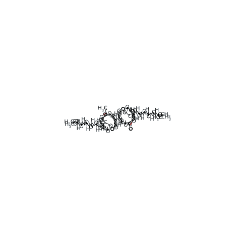 CCCCOc1c2cccc1C(=O)NCCN(C(=O)CNC(=O)CNC(=O)CNC(=O)CNC(=O)CNC(=O)OC(C)(C)C)CCNC(=O)c1cccc(c1OCCCC)C(=O)NCCN(CCN1CCNC(=O)c3cccc(c3OCCCC)C(=O)NCCN(C(=O)CNC(=O)CNC(=O)CNC(=O)CNC(=O)CNC(=O)OC(C)(C)C)CCNC(=O)c3cccc(c3OCc3ccccc3)C(=O)NCC1)CCNC2=O